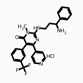 Cl.Cn1c(NCCC(N)c2ccccc2)nc(-c2ccncc2)c(-c2cccc(C(F)(F)F)c2)c1=O